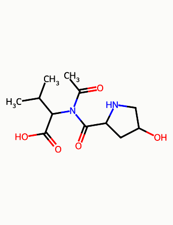 CC(=O)N(C(=O)C1CC(O)CN1)C(C(=O)O)C(C)C